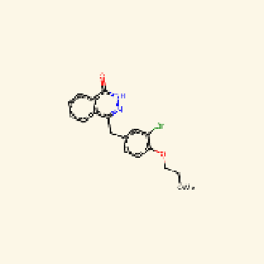 COCCOc1ccc(Cc2n[nH]c(=O)c3ccccc23)cc1Br